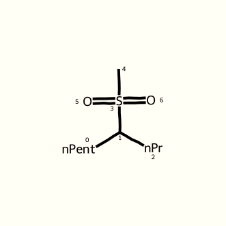 CCCCCC(CCC)S(C)(=O)=O